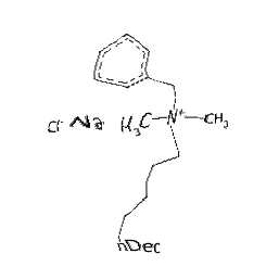 CCCCCCCCCCCCCC[N+](C)(C)Cc1ccccc1.[Cl-].[Na]